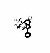 CN(C)c1cc(Cl)cc2cc(-c3ccccc3)n(C)c12